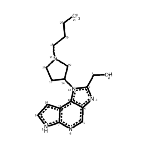 OCc1nc2cnc3[nH]ccc3c2n1C1CCN(CCCC(F)(F)F)C1